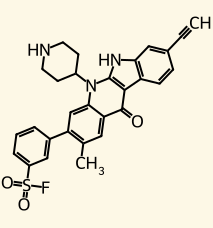 C#Cc1ccc2c(c1)[nH]c1c2c(=O)c2cc(C)c(-c3cccc(S(=O)(=O)F)c3)cc2n1C1CCNCC1